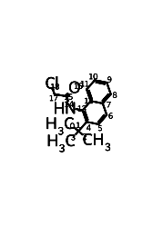 CC(C)(C)c1ccc2ccccc2c1NC(=O)CCl